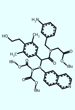 Cc1cc(C(C(=O)N(CC(=O)OC(C)(C)C)Cc2cccc(N)c2)N(c2ccc3cnccc3c2)N(C(=O)OC(C)(C)C)C(=O)OC(C)(C)C)cc(C)c1CCO